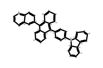 c1cnc2ccc(-c3c4ccccc4c(-c4ccc(-n5c6ccccc6c6ccccc65)cc4)c4ccccc34)cc2c1